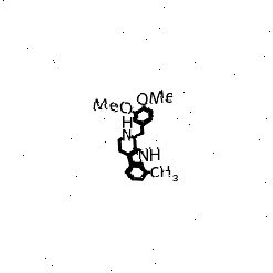 COc1ccc(CC2NCCc3c2[nH]c2c(C)cccc32)cc1OC